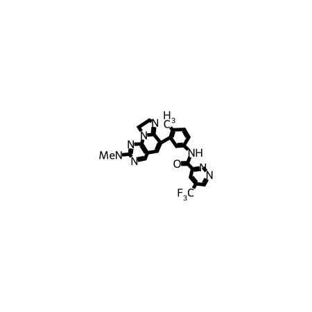 CNc1ncc2c(n1)N1CCN=C1C(c1cc(NC(=O)c3cc(C(F)(F)F)cnn3)ccc1C)=C2